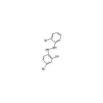 N#Cc1ccc(NNc2ccccc2Br)c(O)c1